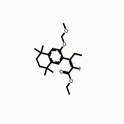 CCOC(=O)/C(F)=C(/CC)c1cc2c(cc1OCOC)C(C)(C)CCC2(C)C